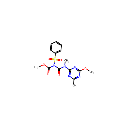 COC(=O)N(C(=O)N(C)c1nc(C)nc(OC)n1)S(=O)(=O)c1ccccc1